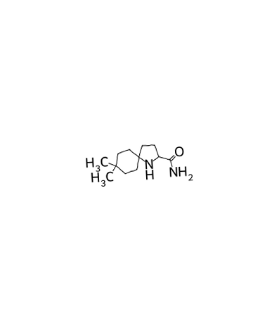 CC1(C)CCC2(CCC(C(N)=O)N2)CC1